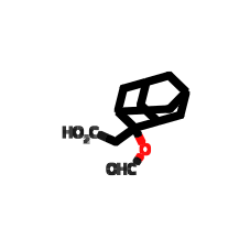 O=COC1(CC(=O)O)C2CC3CC(C2)CC1C3